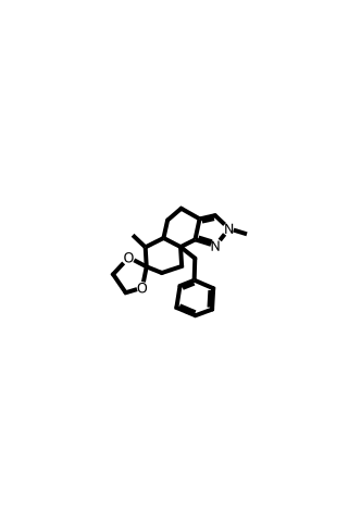 CC1C2CCc3cn(C)nc3C2(Cc2ccccc2)CCC12OCCO2